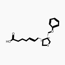 O=C(O)CCCC=CC[C@H]1CSC[C@H]1COc1ccccc1